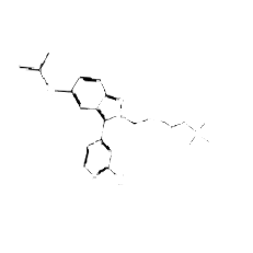 CC(C)Oc1ccc2nn(COCC[Si](C)(C)C)c(-c3ccnc(Cl)c3)c2c1